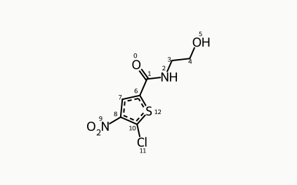 O=C(NCCO)c1cc([N+](=O)[O-])c(Cl)s1